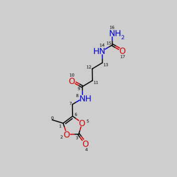 Cc1oc(=O)oc1CNC(=O)CCCNC(N)=O